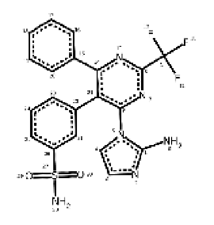 Nc1nccn1-c1nc(C(F)(F)F)nc(-c2ccccc2)c1-c1cccc(S(N)(=O)=O)c1